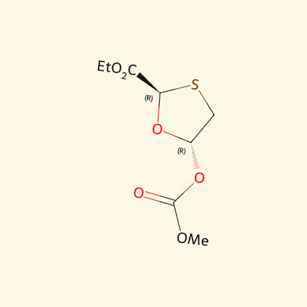 CCOC(=O)[C@@H]1O[C@@H](OC(=O)OC)CS1